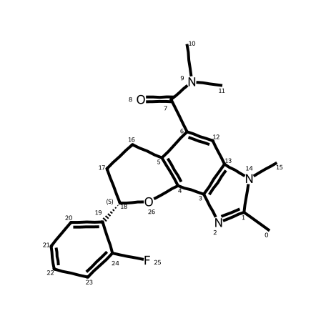 Cc1nc2c3c(c(C(=O)N(C)C)cc2n1C)CC[C@@H](c1ccccc1F)O3